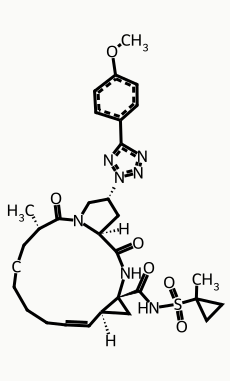 COc1ccc(-c2nnn([C@@H]3C[C@H]4C(=O)N[C@]5(C(=O)NS(=O)(=O)C6(C)CC6)C[C@H]5/C=C\CCCCC[C@H](C)C(=O)N4C3)n2)cc1